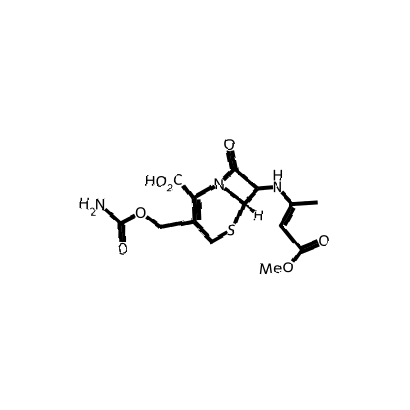 COC(=O)C=C(C)NC1C(=O)N2C(C(=O)O)=C(COC(N)=O)CS[C@@H]12